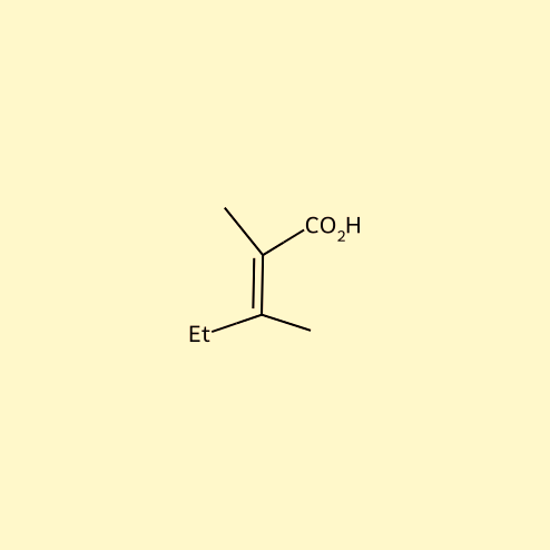 CCC(C)=C(C)C(=O)O